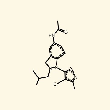 CC(=O)Nc1ccc2c(c1)CN(CC(C)C)N2c1snc(C)c1Cl